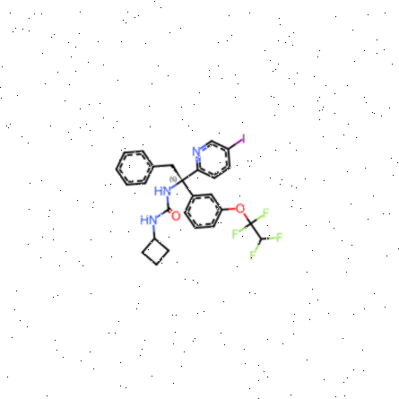 O=C(NC1CCC1)N[C@@](Cc1ccccc1)(c1cccc(OC(F)(F)C(F)F)c1)c1ccc(I)cn1